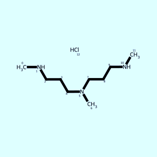 CNCCCN(C)CCCNC.Cl